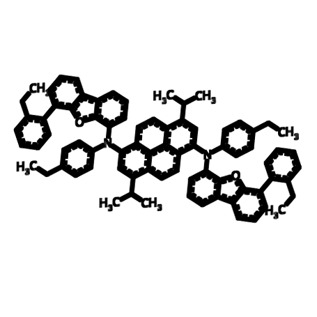 CCc1ccc(N(c2cc(C(C)C)c3ccc4c(N(c5ccc(CC)cc5)c5cccc6c5oc5c(-c7ccccc7CC)cccc56)cc(C(C)C)c5ccc2c3c54)c2cccc3c2oc2c(-c4ccccc4CC)cccc23)cc1